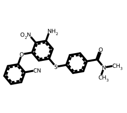 CN(C)C(=O)c1ccc(Sc2cc(N)c([N+](=O)[O-])c(Oc3ccccc3C#N)c2)cc1